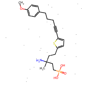 COc1ccc(CCCC#Cc2ccc(CCC(C)(N)CCP(=O)(O)O)s2)cc1